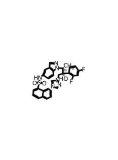 C[C@@H](n1ncc2cc(NS(=O)(=O)c3cccc4ccccc34)ccc21)[C@](O)(Cn1cncn1)c1ccc(F)cc1F